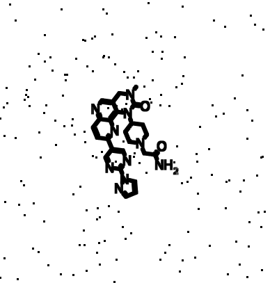 CN1Cc2cnc3ccc(-c4cnc(-n5cccn5)nc4)nc3c2N(C2CCN(CC(N)=O)CC2)C1=O